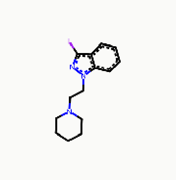 Ic1nn(CCN2CCCCC2)c2ccccc12